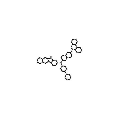 c1ccc(-c2ccc(N(c3ccc4cc(-c5cc6ccccc6c6ccccc56)ccc4c3)c3ccc4c(c3)sc3cc5ccccc5cc34)cc2)cc1